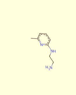 Cc1cccc(NCCN)n1